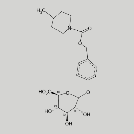 CC1CCN(C(=O)OCc2ccc(OC3O[C@H](C(=O)O)[C@@H](O)[C@H](O)[C@H]3O)cc2)CC1